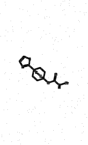 CC(C)NC(=O)OC12CCC(c3nccs3)(CC1)CC2